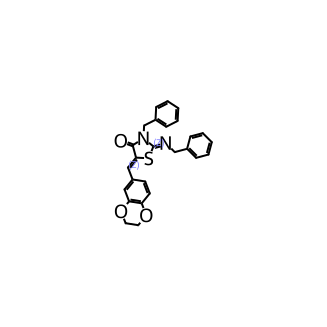 O=C1/C(=C/c2ccc3c(c2)OCCO3)S/C(=N\Cc2ccccc2)N1Cc1ccccc1